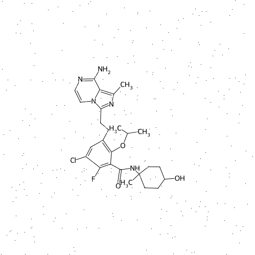 Cc1nc(CCc2cc(Cl)c(F)c(C(=O)NC3(C)CCC(O)CC3)c2OC(C)C)n2ccnc(N)c12